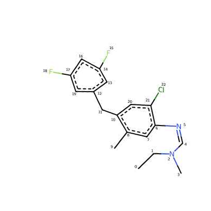 CCN(C)/C=N\c1cc(C)c(Cc2cc(F)cc(F)c2)cc1Cl